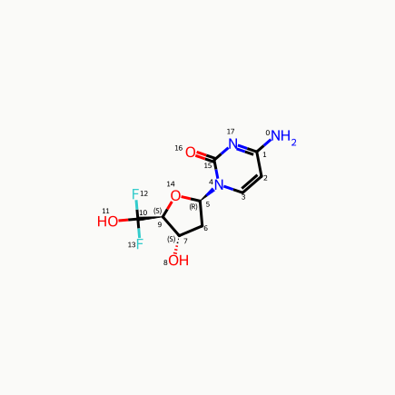 Nc1ccn([C@H]2C[C@H](O)[C@@H](C(O)(F)F)O2)c(=O)n1